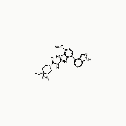 COc1ccc(-c2cccc3[nH]ncc23)c2nc(NC(=O)N3CCC(C)(O)CC3)[nH]c12